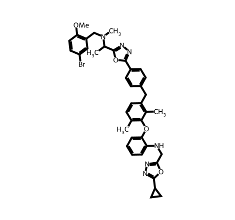 COc1ccc(Br)cc1CN(C)C(C)c1nnc(-c2ccc(Cc3ccc(C)c(Oc4ccccc4NCc4nnc(C5CC5)o4)c3C)cc2)o1